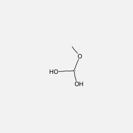 CO[C](O)O